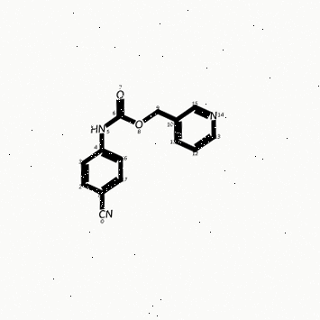 N#Cc1ccc(NC(=O)OCc2cccnc2)cc1